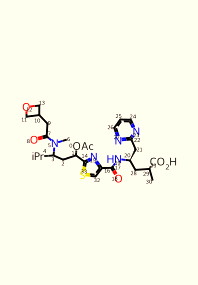 CC(=O)OC(CC(C(C)C)N(C)C(=O)CC1COC1)c1nc(C(=O)N[C@@H](Cc2ncccn2)C[C@H](C)C(=O)O)cs1